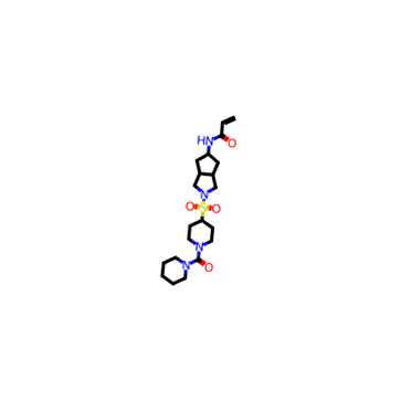 C=CC(=O)NC1CC2CN(S(=O)(=O)C3CCN(C(=O)N4CCCCC4)CC3)CC2C1